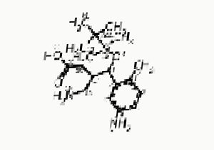 Cc1ccc(N)cc1C(O[Si](C)(C)C(C)(C)C)C(CN)CC(=O)O